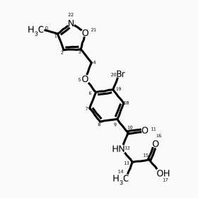 Cc1cc(COc2ccc(C(=O)NC(C)C(=O)O)cc2Br)on1